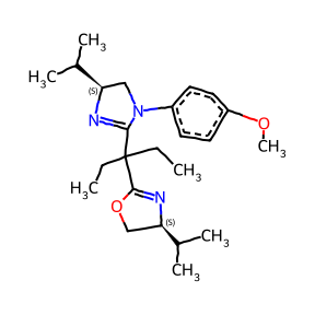 CCC(CC)(C1=N[C@@H](C(C)C)CO1)C1=N[C@@H](C(C)C)CN1c1ccc(OC)cc1